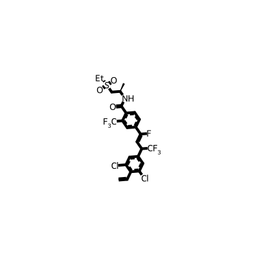 C=Cc1c(Cl)cc(C(/C=C(\F)c2ccc(C(=O)N[C@H](C)CS(=O)(=O)CC)c(C(F)(F)F)c2)C(F)(F)F)cc1Cl